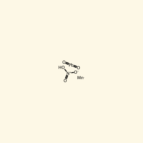 O=[N+]([O-])O.[Mn].[O]=[Pb]=[O]